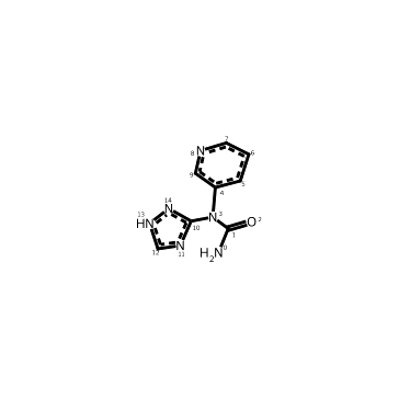 NC(=O)N(c1cccnc1)c1nc[nH]n1